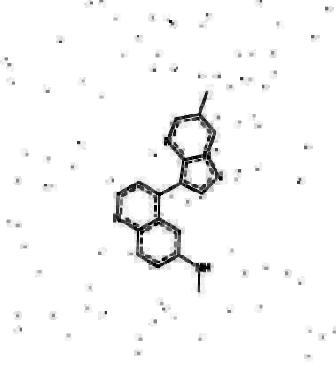 CNc1ccc2nccc(-c3cnn4cc(C)cnc34)c2c1